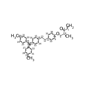 C=CC(=O)C(C)COc1ccc(CCc2ccc(N(c3ccc(C)cc3)c3ccc(C)cc3)cc2)cc1